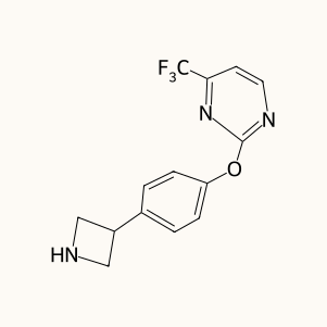 FC(F)(F)c1ccnc(Oc2ccc(C3CNC3)cc2)n1